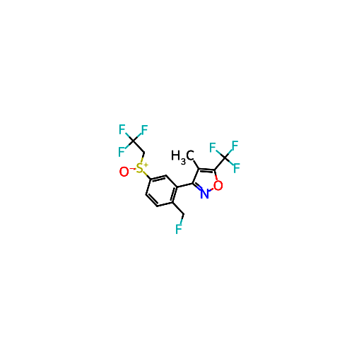 Cc1c(-c2cc([S+]([O-])CC(F)(F)F)ccc2CF)noc1C(F)(F)F